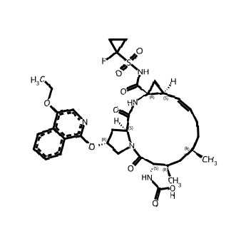 CCOc1cnc(O[C@@H]2C[C@H]3C(=O)N[C@]4(C(=O)NS(=O)(=O)C5(F)CC5)C[C@H]4C=CCC[C@@H](C)C[C@@H](C)[C@H](NC(=O)O)C(=O)N3C2)c2ccccc12